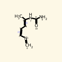 C=N/C=C\C=C(/C)NC(N)=O